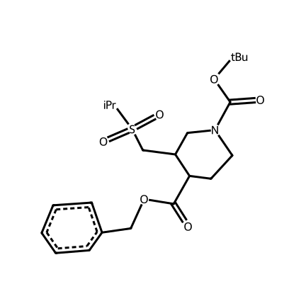 CC(C)S(=O)(=O)CC1CN(C(=O)OC(C)(C)C)CCC1C(=O)OCc1ccccc1